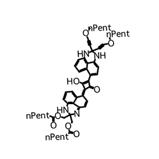 CCCCCOC#CC1(C#COCCCCC)Nc2cccc3c(C4=C(O)/C(=c5/ccc6c7c(cccc57)NC(COC(=O)CCCCC)(COC(=O)CCCCC)N=6)C4=O)ccc(c23)N1